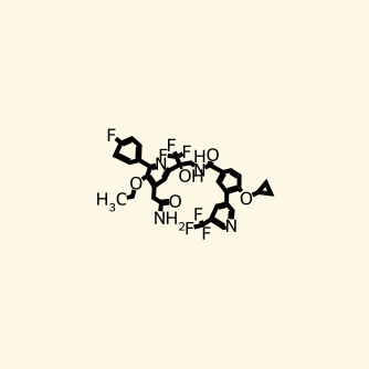 CCOc1c(CC(N)=O)cc([C@@](O)(CNC(=O)c2ccc(OC3CC3)c(-c3cncc(C(F)(F)F)c3)c2)C(F)(F)F)nc1-c1ccc(F)cc1